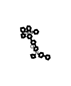 c1ccc(-c2ccc(N(c3ccccc3)c3ccc4c(c3)oc3cc(-c5ccc6c(c5)N(c5ccccc5)c5ccccc5[Si]6(c5ccccc5)c5ccccc5)ccc34)cc2)cc1